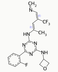 C=N/C=C(\C=C(/C)Nc1nc(NC2COC2)nc(-c2ccccc2F)n1)C(F)(F)F